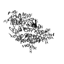 CC(=O)NC1C(O)[C@H](O[C@@H]2OC(CO[C@H]3OC(CO)[C@@H](O)C(O)C3O[C@H](O)C(NC(C)=O)C(O)[C@@H](CCO)O[C@@H]3OC(CO)[C@H](O)C(O)C3O)[C@@H](O)C(O[C@H]3OC(CO)[C@@H](O)C(O)C3O[C@@H]3OC(CO)[C@@H](O[C@@H]4OC(CO)[C@H](CO)C(O)C4O)C(O)C3NC(C)=O)C2O)C(CO)O[C@H]1O[C@@H]1C(CO)O[C@@H](C)C(NC(C)=O)C1O